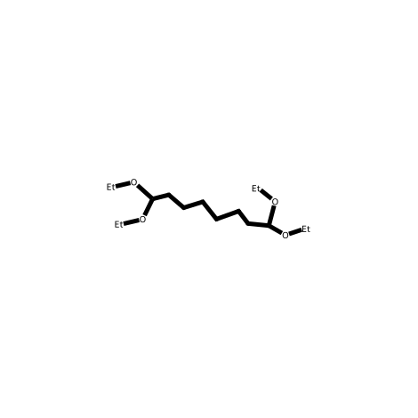 CCOC(CCCCCCC(OCC)OCC)OCC